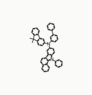 CC1(C)c2ccccc2-c2cc(N(c3cccc(-c4ccccc4)c3)c3ccc4c(c3)c3ccc5ccccc5c3n4-c3ccccc3)ccc21